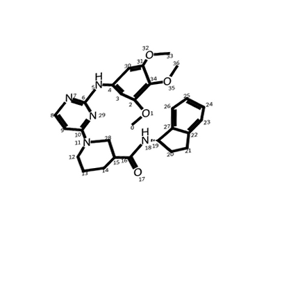 COc1cc(Nc2nccc(N3CCCC(C(=O)N[C@H]4CCc5ccccc54)C3)n2)cc(OC)c1OC